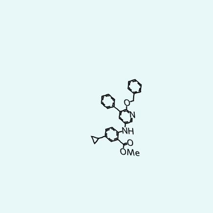 COC(=O)c1cc(C2CC2)ccc1Nc1cnc(OCc2ccccc2)c(-c2ccccc2)c1